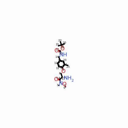 CON(C)C(=O)[C@@H](N)COc1ccc(CNC(=O)OC(C)(C)C)cc1C